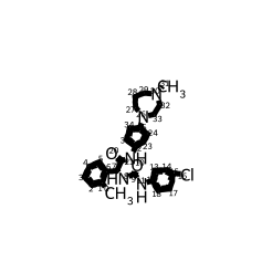 Cc1ccccc1C(NC(=O)Nc1ccc(Cl)cc1)C(=O)Nc1ccc(N2CCCN(C)CC2)cc1